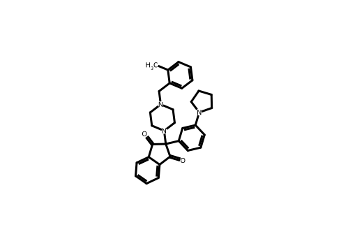 Cc1ccccc1CN1CCN(C2(c3cccc(N4CCCC4)c3)C(=O)c3ccccc3C2=O)CC1